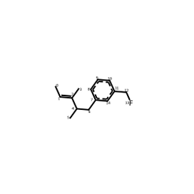 C/C=C(\C)C(C)Cc1cccc(CF)c1